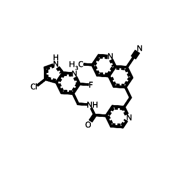 Cc1cnc2c(C#N)cc(Cc3cc(C(=O)NCc4cc5c(Cl)c[nH]c5nc4F)ccn3)cc2c1